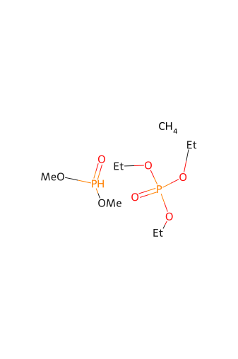 C.CCOP(=O)(OCC)OCC.CO[PH](=O)OC